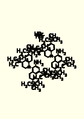 Br.Br.C[Si](C)(C)C1=CC[C@@H](c2c(N)cc([Si](C)(C)C)c3cc([Si](C)(C)C)ccc23)c2ccc([Si](C)(C)C)cc21.C[Si](C)(C)C1=CC[C@@H](c2c(N)cc([Si](C)(C)C)c3cc([Si](C)(C)C)ccc23)c2ccc([Si](C)(C)C)cc21